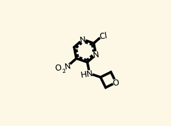 O=[N+]([O-])c1cnc(Cl)nc1NC1COC1